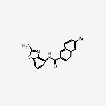 Nc1nc2c(NC(=O)c3ccc4cc(Br)ccc4c3)cccc2s1